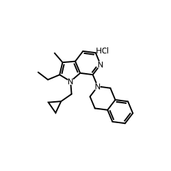 CCc1c(C)c2ccnc(N3CCc4ccccc4C3)c2n1CC1CC1.Cl